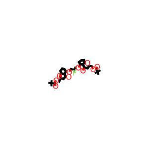 CC(C)(C)C(=O)OCc1cc(=O)c2c(OCC(F)COc3cccc4oc(COC(=O)C(C)(C)C)cc(=O)c34)cccc2o1